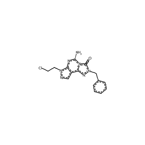 Nc1nc2c(cnn2CCCl)c2nn(Cc3ccccc3)c(=O)n12